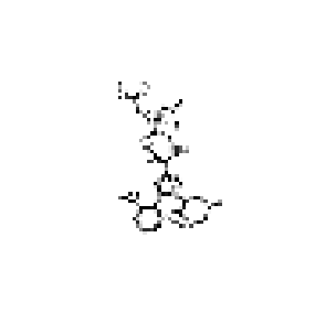 COC(=O)CNC(=O)[C@H](CC(C)C)NC(=O)c1cc(-c2c(OC)cccc2OC)n(C2CCCC(C)C2)n1